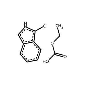 CCOC(=O)O.Clc1[nH]cc2ccccc12